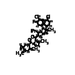 CC(C)C1=C(C(=O)N2[C@H](C)CC[C@@H]2C(=O)N2CC3(CC3)N(C)C[C@@H]2C)SC2=N[C@@](C)(c3ccc(Cl)nc3)[C@@H](c3ccc(Cl)c(F)c3)N21